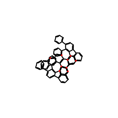 c1ccc(-c2ccc3c(c2-c2ccccc2)-c2c(-c4ccc5cc6ccccc6cc5c4-c4c(-c5ccccc5)cc5cccc6c5c4-c4c-6ccc(-c5ccccc5)c4-c4ccccc4)c(-c4ccccc4)cc4cccc-3c24)cc1